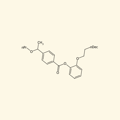 CCCCCCCCCCCCOc1ccccc1OC(=O)c1ccc(C(C)OCCC)cc1